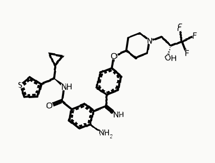 N=C(c1ccc(OC2CCN(C[C@@H](O)C(F)(F)F)CC2)cc1)c1cc(C(=O)N[C@@H](c2ccsc2)C2CC2)ccc1N